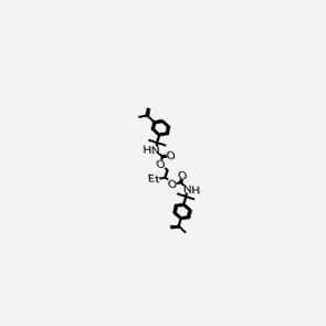 C=C(C)c1ccc(C(C)(C)NC(=O)OC(CC)COC(=O)NC(C)(C)c2cccc(C(=C)C)c2)cc1